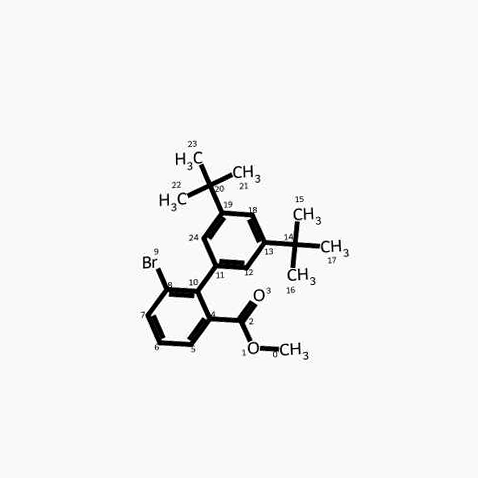 COC(=O)c1cccc(Br)c1-c1cc(C(C)(C)C)cc(C(C)(C)C)c1